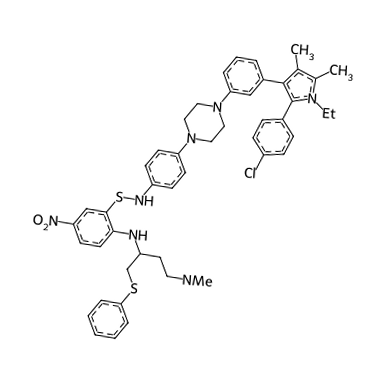 CCn1c(C)c(C)c(-c2cccc(N3CCN(c4ccc(NSc5cc([N+](=O)[O-])ccc5NC(CCNC)CSc5ccccc5)cc4)CC3)c2)c1-c1ccc(Cl)cc1